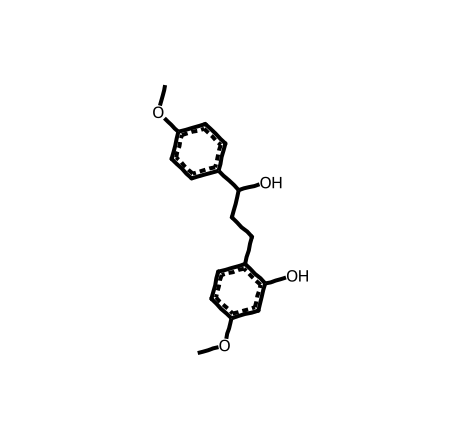 COc1ccc(C(O)CCc2ccc(OC)cc2O)cc1